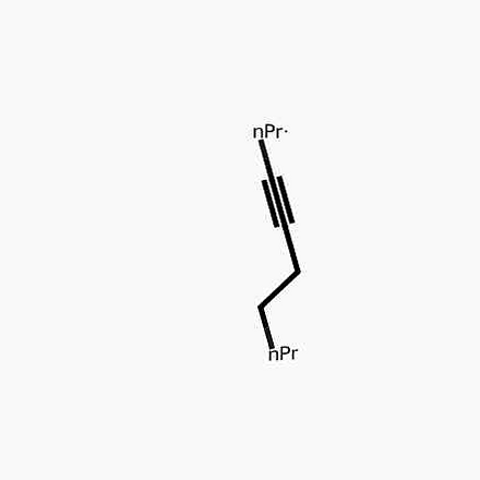 CC[CH]C#CCCCCC